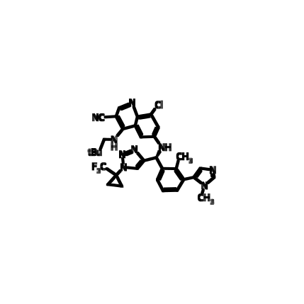 Cc1c(-c2cncn2C)cccc1[C@H](Nc1cc(Cl)c2ncc(C#N)c(NCC(C)(C)C)c2c1)c1cn(C2(C(F)(F)F)CC2)nn1